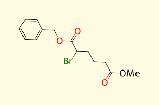 COC(=O)CCCC(Br)C(=O)OCc1ccccc1